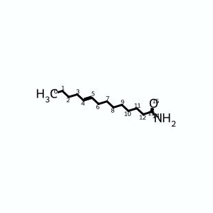 CCCCC=CCCCCCCCC(N)=O